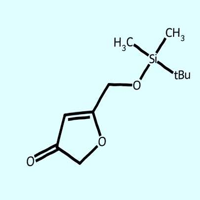 CC(C)(C)[Si](C)(C)OCC1=CC(=O)CO1